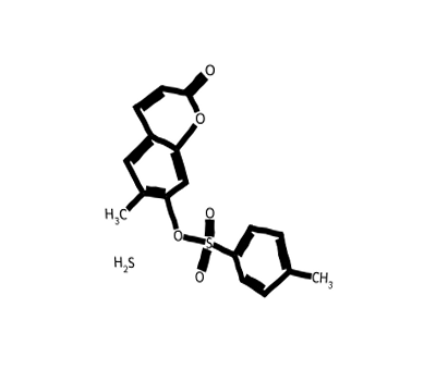 Cc1ccc(S(=O)(=O)Oc2cc3oc(=O)ccc3cc2C)cc1.S